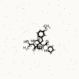 COc1cccc(CC2(C(=O)N[C@H](C(N)=O)[C@@H](C)O)CCCN2C(=O)[C@@H]2CCCN2)c1